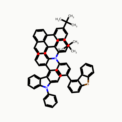 CC(C)(C)c1cc(-c2cccc3cccc(-c4ccccc4N(c4ccc(-c5cccc6sc7ccccc7c56)cc4)c4ccccc4-c4cccc5c4c4ccccc4n5-c4ccccc4)c23)cc(C(C)(C)C)c1